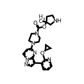 CC1(OC(=O)N2CCN(c3ccn4ncc(-c5cccnc5OC5CC5)c4n3)CC2)CCNC1